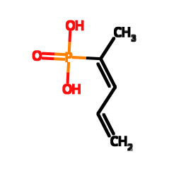 C=CC=C(C)P(=O)(O)O